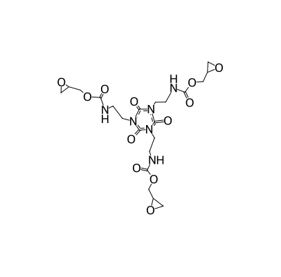 O=C(NCCn1c(=O)n(CCNC(=O)OCC2CO2)c(=O)n(CCNC(=O)OCC2CO2)c1=O)OCC1CO1